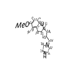 COc1c(C)c(C)c2c(c1C)CCC(C)(CCCN1CCNCC1)O2